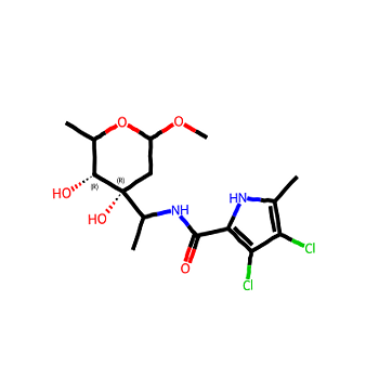 COC1C[C@@](O)(C(C)NC(=O)c2[nH]c(C)c(Cl)c2Cl)[C@H](O)C(C)O1